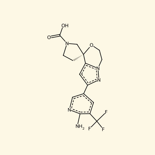 Nc1ncc(-c2cc3n(n2)CCO[C@@]32CCN(C(=O)O)C2)cc1C(F)(F)F